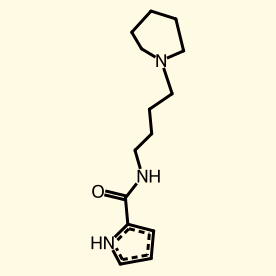 O=C(NCCCCN1CCCCC1)c1ccc[nH]1